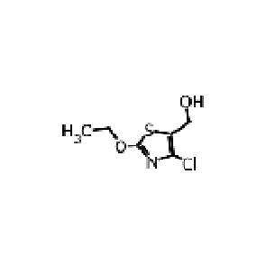 CCOc1nc(Cl)c(CO)s1